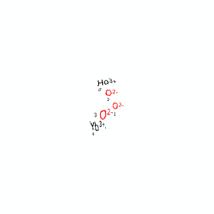 [Ho+3].[O-2].[O-2].[O-2].[Yb+3]